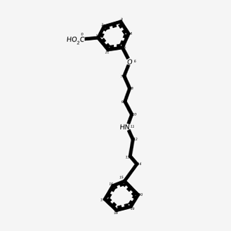 O=C(O)c1cccc(OCCCCNCCCc2ccccc2)c1